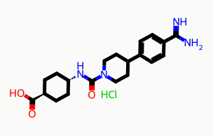 Cl.N=C(N)c1ccc(C2CCN(C(=O)N[C@H]3CC[C@H](C(=O)O)CC3)CC2)cc1